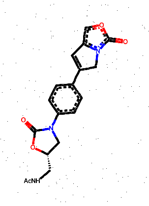 CC(=O)NC[C@H]1CN(c2ccc(C3=Cc4coc(=O)n4C3)cc2)C(=O)O1